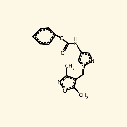 Cc1noc(C)c1Cn1cc(NC(=O)[CH]c2ccccc2)cn1